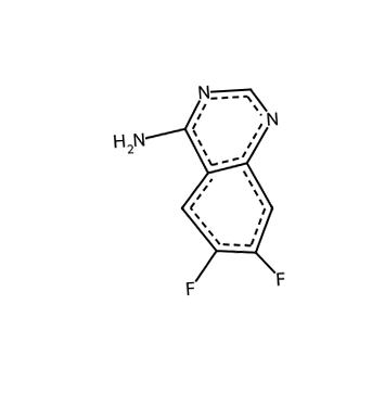 Nc1ncnc2cc(F)c(F)cc12